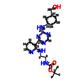 CC(C)(C)OC(=O)NCCNc1ncccc1-c1ncnc(Nc2cccc(CO)c2)n1